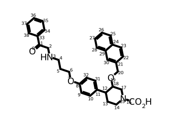 O=C(CNCCCOc1ccc(C2CCN(C(=O)O)CC2OCc2ccc3ccccc3c2)cc1)c1ccccc1